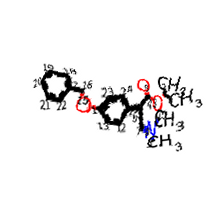 CC(C)OC(=O)C(CN(C)C)c1ccc(OCc2ccccc2)cc1